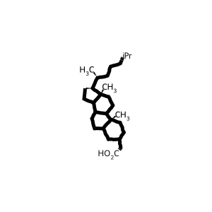 CC(C)CCC[C@@H](C)[C@H]1CCC2C3CCC4CC(CC(=O)O)CC[C@]4(C)C3CC[C@@]21C